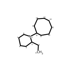 CCC1CCCCN1C1CCCCCCC1